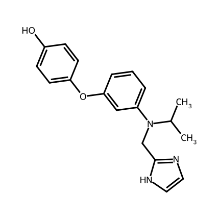 CC(C)N(Cc1ncc[nH]1)c1cccc(Oc2ccc(O)cc2)c1